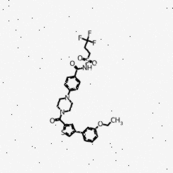 CCOc1cccc(-c2csc(C(=O)N3CCN(c4ccc(C(=O)NS(=O)(=O)CCC(F)(F)F)cc4)CC3)c2)c1